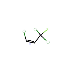 FC(Cl)(Cl)/C=C\Cl